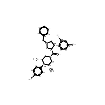 C[C@@H]1CN(C(=O)[C@H]2CN(Cc3ccccc3)C[C@@H]2c2ccc(F)cc2F)C[C@H](C)N1c1ccc(F)cc1